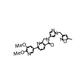 COc1cc(-c2ccc3c(n2)CN(c2cnn(Cc4cc(C)on4)c2)C3=O)cnc1OC